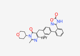 CCCc1nc(C)n(C2CCOCC2)c(=O)c1Cc1ccc(-c2ccccc2-c2noc(=O)[nH]2)cc1